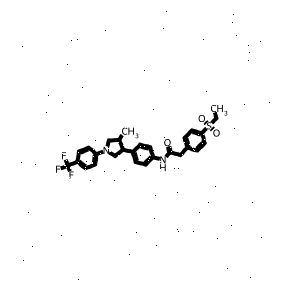 CCS(=O)(=O)c1ccc(CC(=O)Nc2ccc(C3CN(c4ccc(C(F)(F)F)cc4)CC3C)cc2)cc1